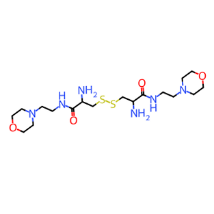 NC(CSSCC(N)C(=O)NCCN1CCOCC1)C(=O)NCCN1CCOCC1